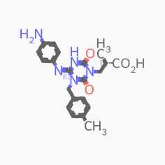 Cc1ccc(Cn2c(=O)n(C[C@H](C)C(=O)O)c(=O)[nH]/c2=N\c2ccc(N)cc2)cc1